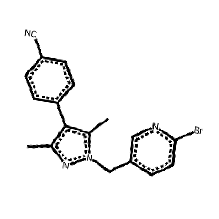 Cc1nn(Cc2ccc(Br)nc2)c(C)c1-c1ccc(C#N)cc1